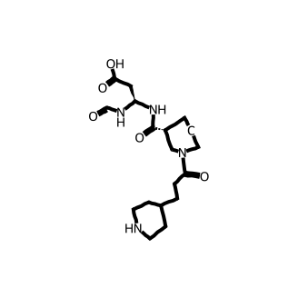 O=CN[C@@H](CC(=O)O)NC(=O)[C@@H]1CCCN(C(=O)CCC2CCNCC2)C1